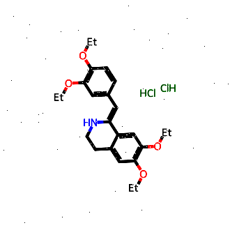 CCOc1ccc(C=C2NCCc3cc(OCC)c(OCC)cc32)cc1OCC.Cl.Cl